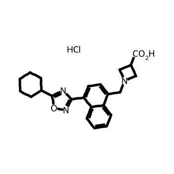 Cl.O=C(O)C1CN(Cc2ccc(-c3noc(C4CCCCC4)n3)c3ccccc23)C1